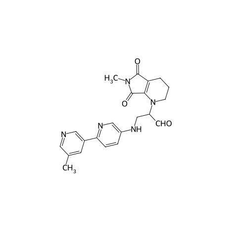 Cc1cncc(-c2ccc(NCC(C=O)N3CCCC4=C3C(=O)N(C)C4=O)cn2)c1